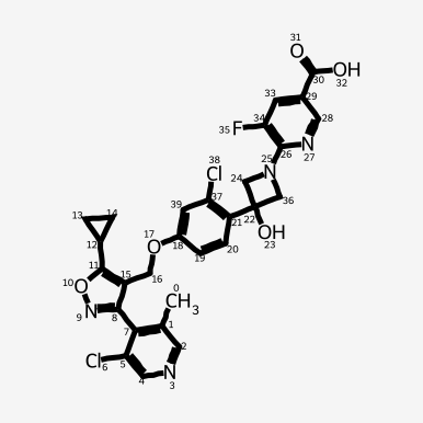 Cc1cncc(Cl)c1-c1noc(C2CC2)c1COc1ccc(C2(O)CN(c3ncc(C(=O)O)cc3F)C2)c(Cl)c1